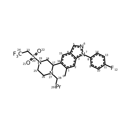 Cc1cc2c(cnn2-c2ccc(F)cc2)cc1C1CN(S(=O)(=O)CC(F)(F)F)CCN1CC(C)C